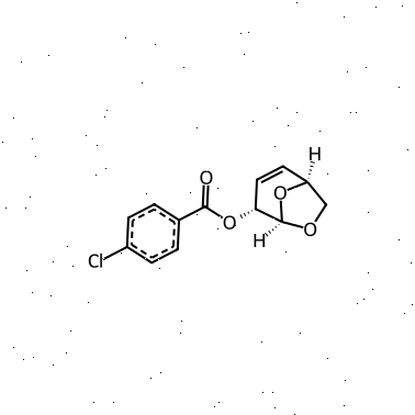 O=C(O[C@@H]1C=C[C@H]2CO[C@@H]1O2)c1ccc(Cl)cc1